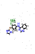 CC(=O)Oc1cc(Sc2nccn2C)c(F)cc1Nc1ncnc2ccccc12.Cl.Cl